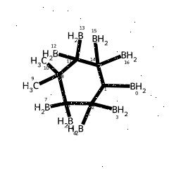 BC1C(B)(B)C(B)(B)C(C)(C)C(B)(B)C1(B)B